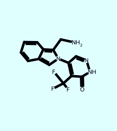 NCc1c2ccccc2cn1-c1cn[nH]c(=O)c1C(F)(F)F